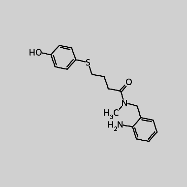 CN(Cc1ccccc1N)C(=O)CCCSc1ccc(O)cc1